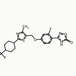 Cc1nc(C2CCC(C(F)(F)F)CC2)sc1COc1ccc(-c2noc(=O)[nH]2)c(F)c1